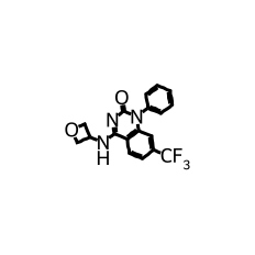 O=c1nc(NC2COC2)c2ccc(C(F)(F)F)cc2n1-c1ccccc1